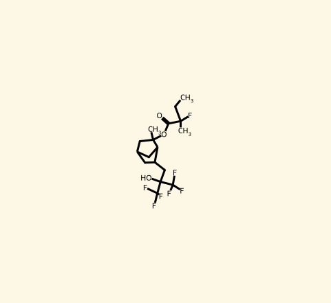 CCC(C)(F)C(=O)OC1(C)CC2CC(CC(O)(C(F)(F)F)C(F)(F)F)C1C2